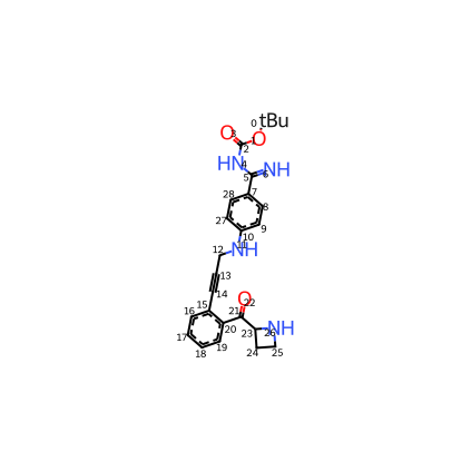 CC(C)(C)OC(=O)NC(=N)c1ccc(NCC#Cc2ccccc2C(=O)C2CCN2)cc1